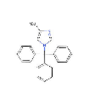 CCCCc1cn(C(c2ccccc2)(c2ccccc2)c2ccccc2)cn1